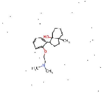 CN(C)CCOc1ccccc1C1CCC2(C)CCCCC12O